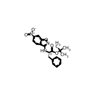 CC(C)(C)OC(=O)[C@H](Cc1ccccc1)Nc1noc2cc([N+](=O)[O-])ccc12